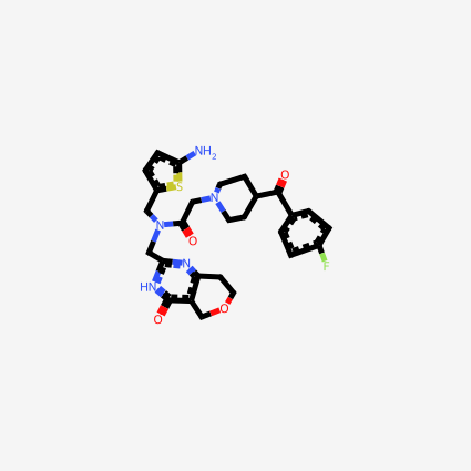 Nc1ccc(CN(Cc2nc3c(c(=O)[nH]2)COCC3)C(=O)CN2CCC(C(=O)c3ccc(F)cc3)CC2)s1